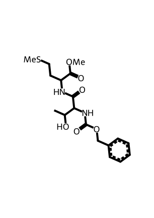 COC(=O)C(CCSC)NC(=O)C(NC(=O)OCc1ccccc1)C(C)O